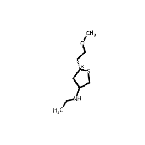 CCNC1CS[C@@H](CCOC)C1